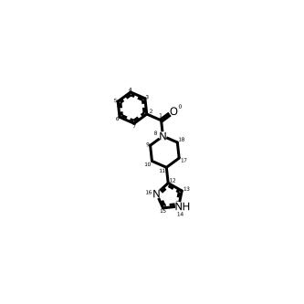 O=C(c1ccccc1)N1CCC(c2c[nH]cn2)CC1